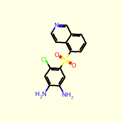 Nc1cc(Cl)c(S(=O)(=O)c2cccc3cnccc23)cc1N